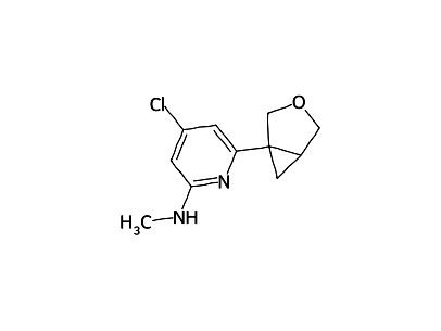 CNc1cc(Cl)cc(C23COCC2C3)n1